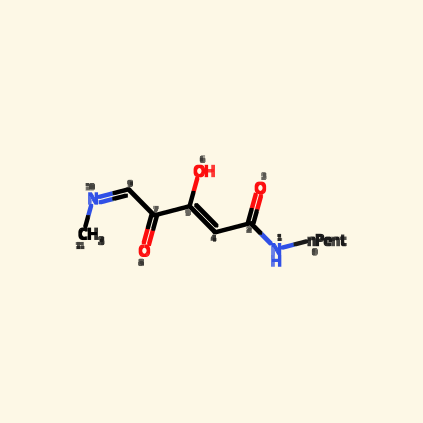 CCCCCNC(=O)/C=C(\O)C(=O)/C=N\C